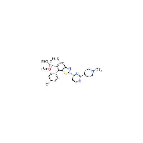 CCOC(=O)[C@@H](OC(C)(C)C)c1c(C)cc2nc(-c3ccnc(C4=CCN(C)CC4)n3)sc2c1-c1ccc(Cl)cc1